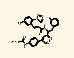 COC(=O)Nc1ccc(-c2cnnc(C(Cc3cccc(F)c3)NC(=O)C=Cc3cc(Cl)ccc3-n3cnnn3)c2)cc1